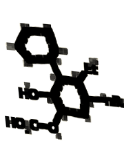 CCCCc1cc(OC(=O)O)c(O)c(-c2ccccc2)c1CC